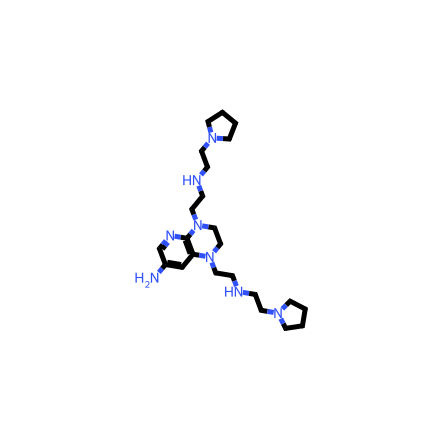 Nc1cnc2c(c1)N(CCNCCN1CCCC1)CCN2CCNCCN1CCCC1